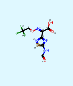 O=CNc1nc(/C(=N\OCC(F)(F)F)C(=O)O)ns1